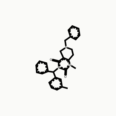 Cc1cccc(C(c2ccccc2)n2c(=O)c3c(n(C)c2=O)CCN(Cc2ccccc2)C3)c1